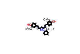 CCOC(=O)c1ccccc1-n1nc(/C=C/c2ccc(O)c(OC)c2)cc1/C=C/c1ccc(O)c(OC)c1